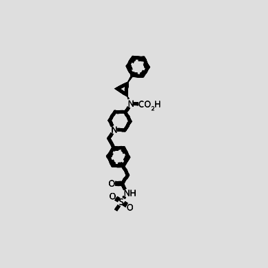 CS(=O)(=O)NC(=O)Cc1ccc(CN2CCC(N(C(=O)O)[C@@H]3C[C@H]3c3ccccc3)CC2)cc1